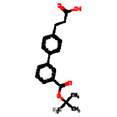 CC(C)(C)OC(=O)c1cccc(-c2ccc(CCC(=O)O)cc2)c1